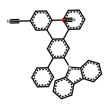 N#Cc1ccc(C#N)c(-c2cc(-c3ccccc3)c(-n3c4ccccc4c4ccccc43)cc2-c2ccccc2)c1